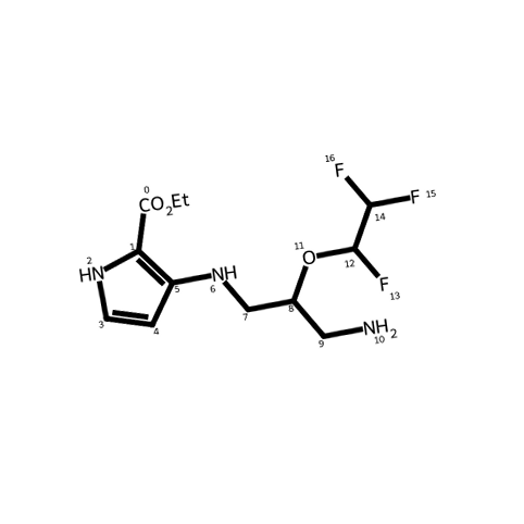 CCOC(=O)c1[nH]ccc1NCC(CN)OC(F)C(F)F